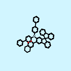 c1ccc(-c2ccc(N(c3ccc(-c4ccccc4)cc3)c3cc4c(cc3-c3ccc5c(c3)CCCC5)-c3ccccc3C43c4ccccc4-c4ccccc43)cc2)cc1